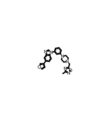 Cc1noc(CN2CCN(c3cccc(-n4cnc5cc(-c6ccoc6)ccc54)c3)CC2)n1